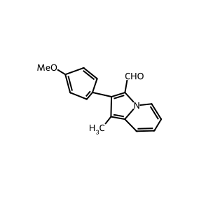 COc1ccc(-c2c(C)c3ccccn3c2C=O)cc1